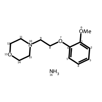 COc1ccccc1OCCN1CCOCC1.N